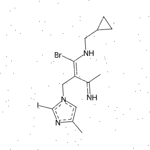 CC(=N)/C(Cn1cc(C)nc1I)=C(/Br)NCC1CC1